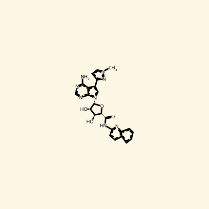 Cn1ccc(-c2cn([C@@H]3O[C@H](C(=O)Nc4ccc5ccccc5n4)[C@@H](O)[C@H]3O)c3ncnc(N)c23)n1